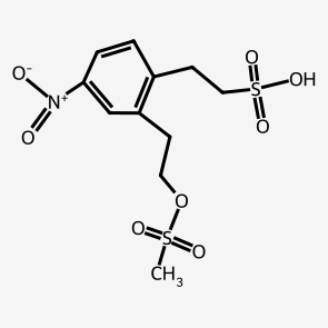 CS(=O)(=O)OCCc1cc([N+](=O)[O-])ccc1CCS(=O)(=O)O